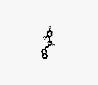 Clc1ccc(-c2c[nH]c(C=Cc3ccc4ccccc4c3)n2)c(Cl)c1